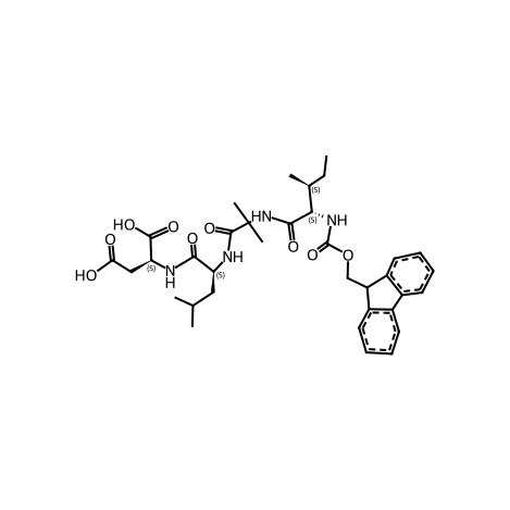 CC[C@H](C)[C@H](NC(=O)OCC1c2ccccc2-c2ccccc21)C(=O)NC(C)(C)C(=O)N[C@@H](CC(C)C)C(=O)N[C@@H](CC(=O)O)C(=O)O